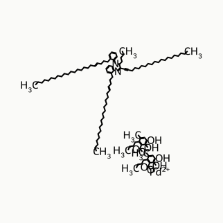 CCCCCCCCCCCCCCCCCCC#CC(=Nc1ccccc1CCCC=CCCCCCCCCCCCCCCCCCC)C(CCCC)=Nc1ccccc1CCCC=CCCCCCCCCCCCCCCCCCC.CCCCc1c(C)cc(O)c(O)c1C(=O)[O-].CCCCc1c(C)cc(O)c(O)c1C(=O)[O-].[Pd+2]